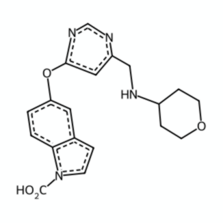 O=C(O)n1ccc2cc(Oc3cc(CNC4CCOCC4)ncn3)ccc21